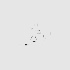 C#COc1ccc(C23C([C@H]2C(=O)O)[C@H]3C(=O)O)cc1